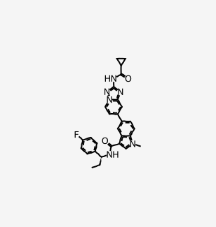 CC[C@H](NC(=O)c1cn(C)c2ccc(-c3ccn4nc(NC(=O)C5CC5)nc4c3)cc12)c1ccc(F)cc1